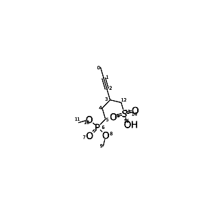 CC#CC(CCP(=O)(OC)OC)CS(=O)(=O)O